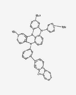 CC(C)(C)c1ccc(N2c3cc(C(C)(C)C)ccc3B3c4cc(C(C)(C)C)ccc4N(c4cccc(-c5ccc6c(c5)oc5ccccc56)c4)c4cccc2c43)cc1